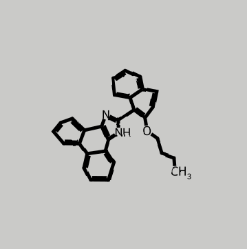 CCCCOc1ccc2ccccc2c1-c1nc2c3ccccc3c3ccccc3c2[nH]1